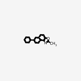 Cc1nc2c(ccc3cc(-c4ccccc4)ccc32)o1